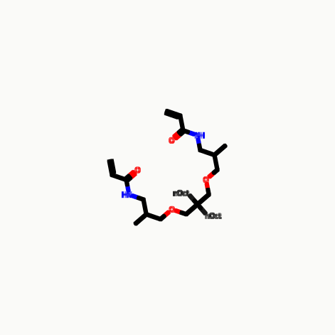 C=CC(=O)NCC(C)COCC(CCCCCCCC)(CCCCCCCC)COCC(C)CNC(=O)C=C